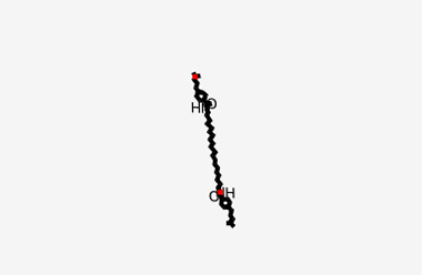 CC(C)=CCCC1=CCC(C(=O)NCCCCCCCCCCCCCCCCCCCCNC(=O)C2CC=C(CCC=C(C)C)CC2)CC1